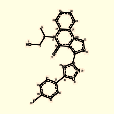 CC(CO)n1c(=O)c2c(-c3noc(-c4ccc(F)cc4)n3)ncn2c2ccccc21